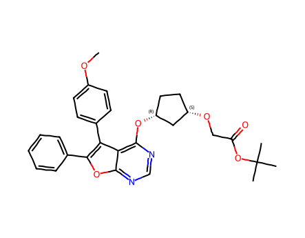 COc1ccc(-c2c(-c3ccccc3)oc3ncnc(O[C@@H]4CC[C@H](OCC(=O)OC(C)(C)C)C4)c23)cc1